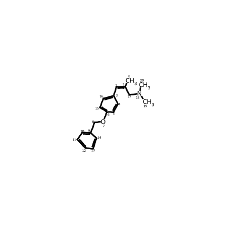 CC(=Cc1ccc(OCc2ccccc2)cc1)CN(C)C